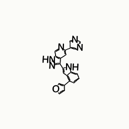 c1cc(-c2ccoc2)c2cc(-c3n[nH]c4cnc(-c5cncnc5)cc34)[nH]c2c1